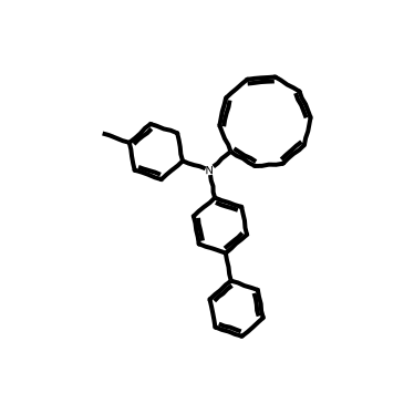 CC1=CCC(N(c2ccccccccc2)c2ccc(-c3ccccc3)cc2)C=C1